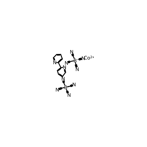 N#C[B-](C#N)(C#N)C#N.N#C[B-](C#N)(C#N)C#N.[Co+2].c1ccc(-c2ccccn2)nc1